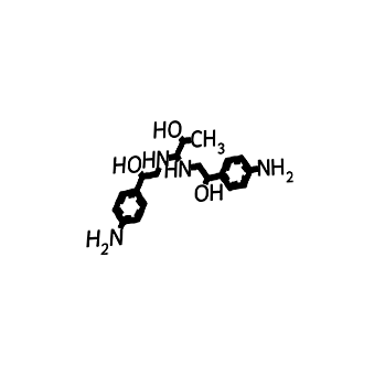 CC(O)C(NCC(O)c1ccc(N)cc1)NCC(O)c1ccc(N)cc1